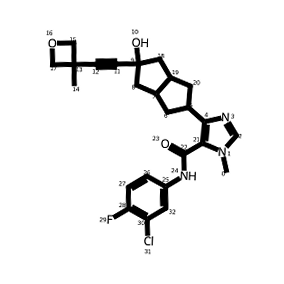 Cn1cnc(C2CC3CC(O)(C#CC4(C)COC4)CC3C2)c1C(=O)Nc1ccc(F)c(Cl)c1